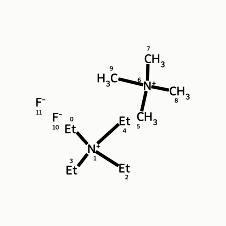 CC[N+](CC)(CC)CC.C[N+](C)(C)C.[F-].[F-]